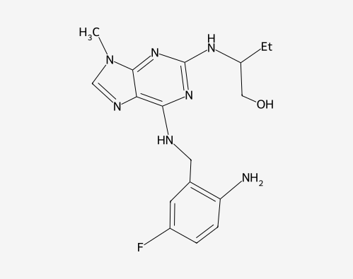 CCC(CO)Nc1nc(NCc2cc(F)ccc2N)c2ncn(C)c2n1